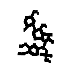 CCOc1nc([C@@H](CS(C)(=O)=O)n2c(=O)[nH]c3c(C)c(-c4cc(C)ccc4F)cnc32)ccc1OC